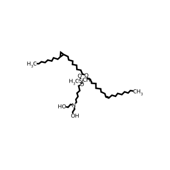 CCCCCCCC/C=C\CCCCCCCCOC(CCCCCCCC1CC1CCCCCCCC)O[Si](C)(C)OCCCCCCN(CCO)CCO